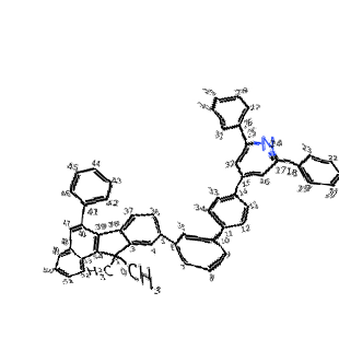 CC1(C)c2cc(-c3cccc(-c4ccc(-c5cc(-c6ccccc6)nc(-c6ccccc6)c5)cc4)c3)ccc2-c2c(-c3ccccc3)cc3ccccc3c21